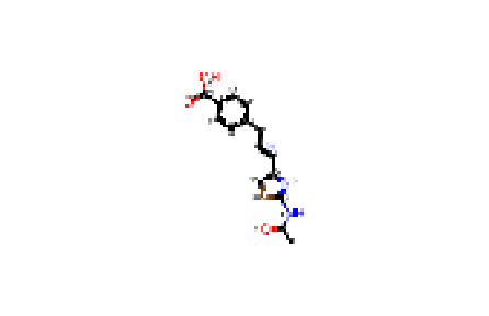 CC(=O)Nc1nc(/C=C/Cc2ccc(C(=O)O)cc2)cs1